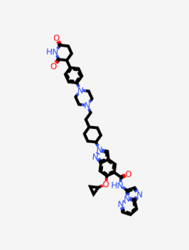 O=C1CCC(c2ccc(N3CCN(CCC4CCC(n5cc6cc(C(=O)Nc7cnc8cccnn78)c(OC7CC7)cc6n5)CC4)CC3)cc2)C(=O)N1